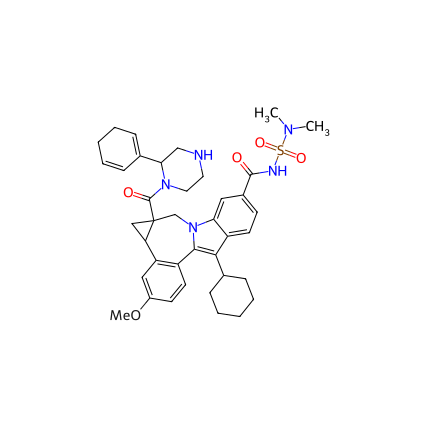 COc1ccc2c(c1)C1CC1(C(=O)N1CCNCC1C1=CCCC=C1)Cn1c-2c(C2CCCCC2)c2ccc(C(=O)NS(=O)(=O)N(C)C)cc21